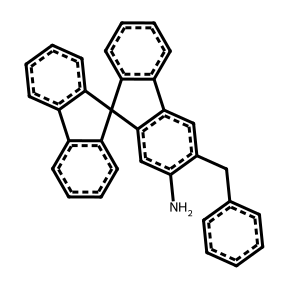 Nc1cc2c(cc1Cc1ccccc1)-c1ccccc1C21c2ccccc2-c2ccccc21